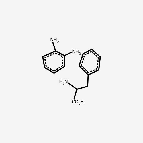 NC(Cc1ccccc1)C(=O)O.Nc1ccccc1N